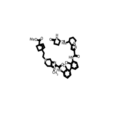 COC(=O)C12CCC(CCN3CCc4c(nc(C(=O)Nc5cccc(-c6cccc(NC(=O)c7cc8n(n7)CCCC8NC[C@@H]7CCC(=O)N7)c6Cl)c5Cl)n4C)C3)(CC1)C2